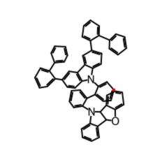 c1ccc(-c2ccccc2-c2ccc3c(c2)c2cc(-c4ccccc4-c4ccccc4)ccc2n3-c2ccccc2-c2ccccc2N2c3ccccc3C3Oc4ccccc4C32)cc1